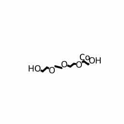 OCCOCCOCCO[CH]([Co])CO